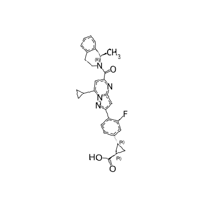 C[C@@H]1c2ccccc2CCN1C(=O)c1cc(C2CC2)n2nc(-c3ccc([C@@H]4C[C@H]4C(=O)O)cc3F)cc2n1